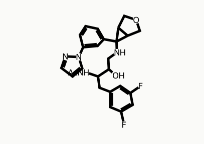 CC(=O)NC(Cc1cc(F)cc(F)c1)C(O)CNC1(c2cccc(-n3cccn3)c2)C2COCC21